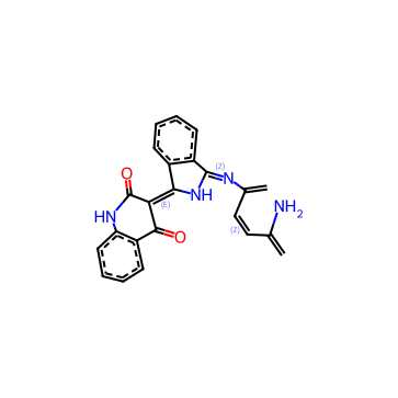 C=C(N)/C=C\C(=C)/N=C1\N/C(=C2/C(=O)Nc3ccccc3C2=O)c2ccccc21